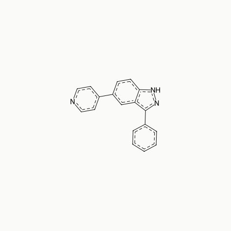 c1ccc(-c2n[nH]c3ccc(-c4ccncc4)cc23)cc1